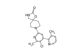 Cc1cccnc1-c1cc(N2CCC3(CC2)CNC(=O)O3)nc(C)c1Cl